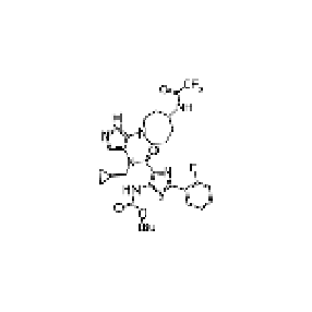 CC(C)(C)OC(=O)Nc1sc(-c2ccccc2F)nc1C(=O)N(CC1CC1)c1cn[nH]c1N1CCCC(NC(=O)C(F)(F)F)CC1